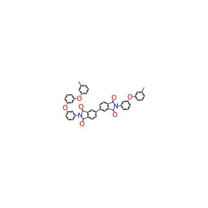 Cc1cccc(Oc2cccc(Oc3cccc(N4C(=O)c5ccc(-c6ccc7c(c6)C(=O)N(c6cccc(Oc8cccc(C)c8)c6)C7=O)cc5C4=O)c3)c2)c1